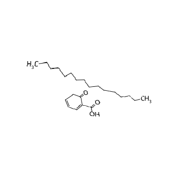 CCCCCCCCCCCCCCCC.O=C(O)C1=CC=CCC1=O